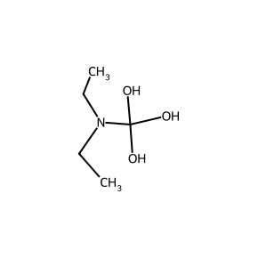 CCN(CC)C(O)(O)O